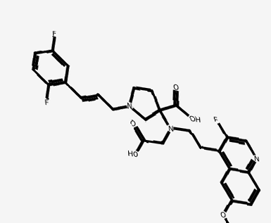 COc1ccc2ncc(F)c(CCN(CC(=O)O)C3(C(=O)O)CCN(C/C=C/c4cc(F)ccc4F)C3)c2c1